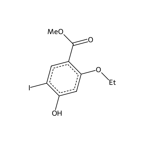 CCOc1cc(O)c(I)cc1C(=O)OC